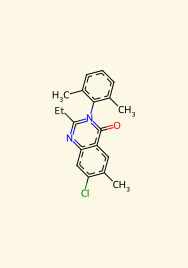 CCc1nc2cc(Cl)c(C)cc2c(=O)n1-c1c(C)cccc1C